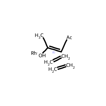 C=C.C=C.CC(=O)/C=C(\C)O.[Rh]